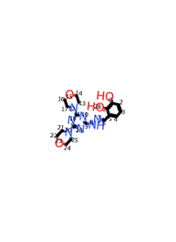 Oc1cccc(C=NNc2nc(N3CCOCC3)nc(N3CCOCC3)n2)c1O